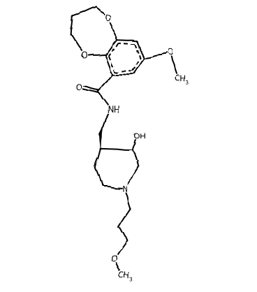 COCCCN1CC[C@@H](CNC(=O)c2cc(OC)cc3c2OCCCO3)C(O)C1